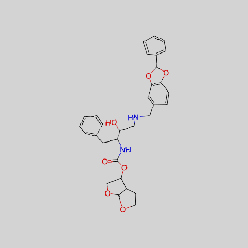 O=C(NC(Cc1ccccc1)C(O)CNCc1ccc2c(c1)OC(c1ccccc1)O2)OC1COC2OCCC12